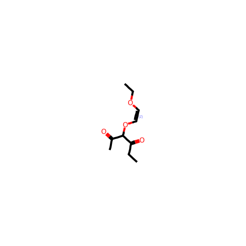 CCO/C=C\OC(C(C)=O)C(=O)CC